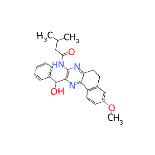 COc1ccc2c(c1)CCc1nc(NC(=O)CC(C)C)c(C(O)c3ccccc3)nc1-2